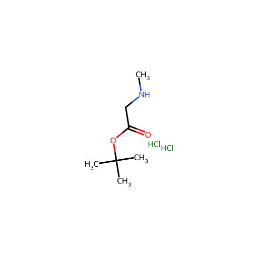 CNCC(=O)OC(C)(C)C.Cl.Cl